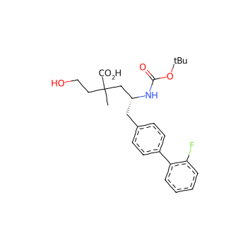 CC(C)(C)OC(=O)N[C@H](Cc1ccc(-c2ccccc2F)cc1)CC(C)(CCO)C(=O)O